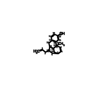 C=CCN1CC2C=C[C@@]3(C)c4cc(O)ccc4CC1C3C2